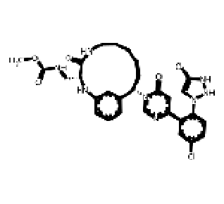 COC(=O)NC[C@H]1Nc2cccc(c2)[C@@H](n2cnc(-c3cc(Cl)ccc3N3C=C(Cl)NN3)cc2=O)CCCCCNC1=O